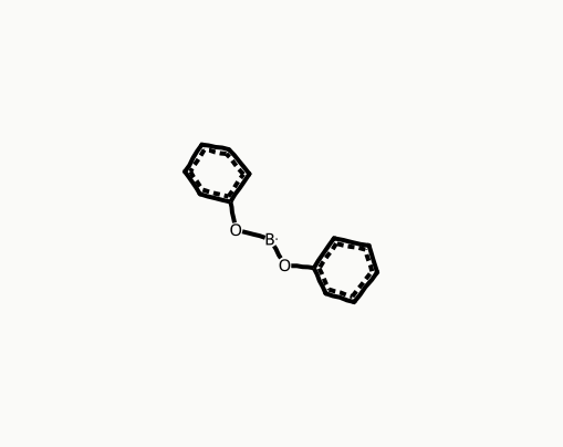 [B](Oc1ccccc1)Oc1ccccc1